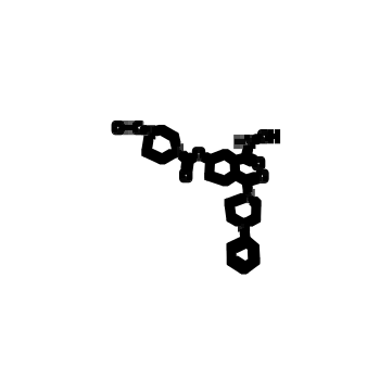 O=CN1CCN(C(=O)OC2CCC(C(=O)N3CCN(c4ccccc4)CC3)C(C(=O)NO)C2)CC1